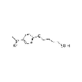 C[S+]([O-])c1ccc(OCCCCS(=O)(=O)O)cc1